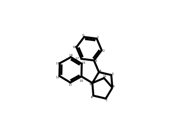 c1ccc(C2CC3CCC2(c2ccccc2)C3)cc1